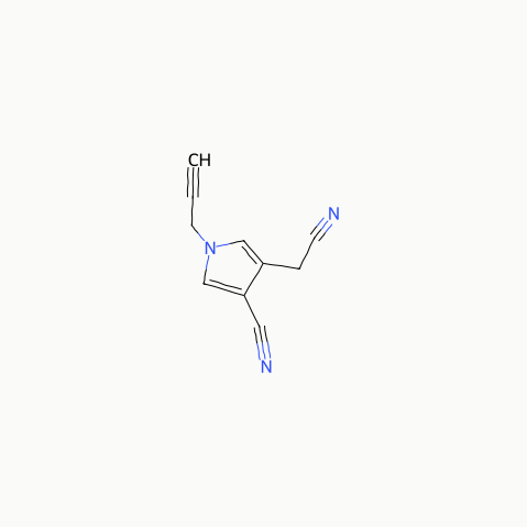 C#CCn1cc(C#N)c(CC#N)c1